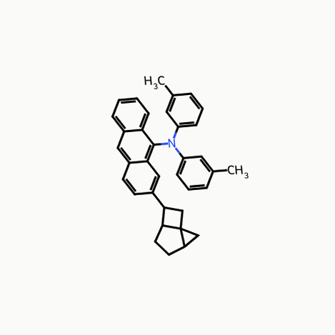 Cc1cccc(N(c2cccc(C)c2)c2c3ccccc3cc3ccc(C4CC56CC5CCC46)cc23)c1